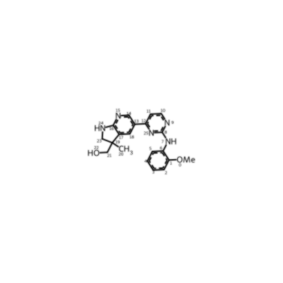 COc1ccccc1Nc1nccc(-c2cnc3c(c2)C(C)(CO)CN3)n1